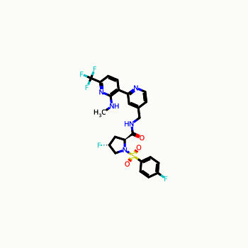 CNc1nc(C(F)(F)F)ccc1-c1cc(CNC(=O)[C@@H]2C[C@@H](F)CN2S(=O)(=O)c2ccc(F)cc2)ccn1